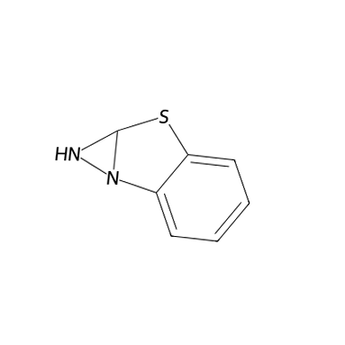 c1ccc2c(c1)SC1NN21